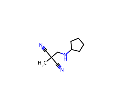 CC(C#N)(C#N)CNC1CCCC1